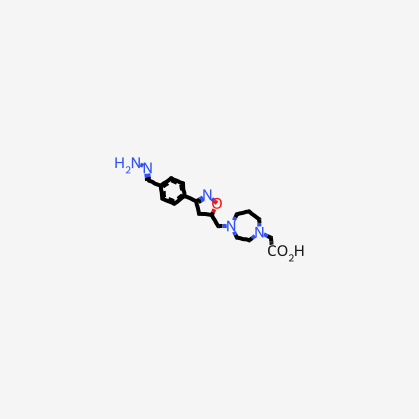 NN=Cc1ccc(C2=NOC(CN3CCCN(CC(=O)O)CC3)C2)cc1